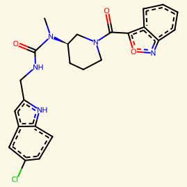 CN(C(=O)NCc1cc2cc(Cl)ccc2[nH]1)[C@@H]1CCCN(C(=O)c2onc3ccccc23)C1